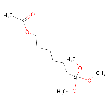 CO[Si](CCCCCCOC(C)=O)(OC)OC